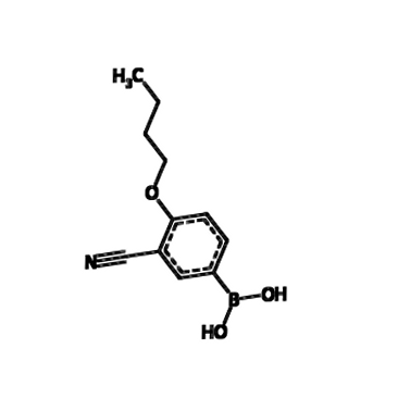 CCCCOc1ccc(B(O)O)cc1C#N